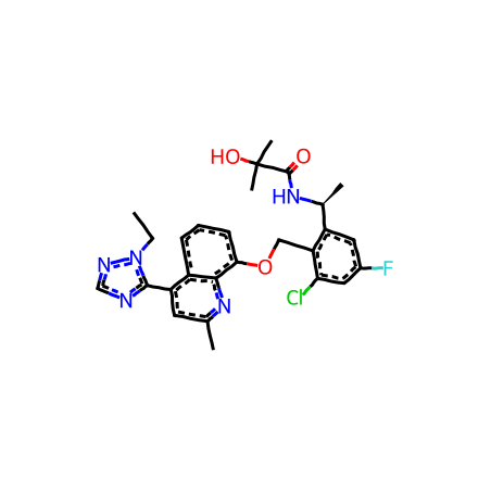 CCn1ncnc1-c1cc(C)nc2c(OCc3c(Cl)cc(F)cc3[C@H](C)NC(=O)C(C)(C)O)cccc12